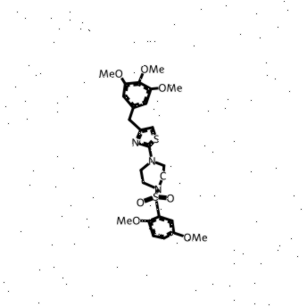 COc1ccc(OC)c(S(=O)(=O)N2CCN(c3nc(Cc4cc(OC)c(OC)c(OC)c4)cs3)CC2)c1